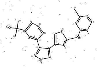 Cc1ccnc(Nc2nc(-c3c[nH]nc3-c3cncc(C(C)(C)O)c3)cs2)n1